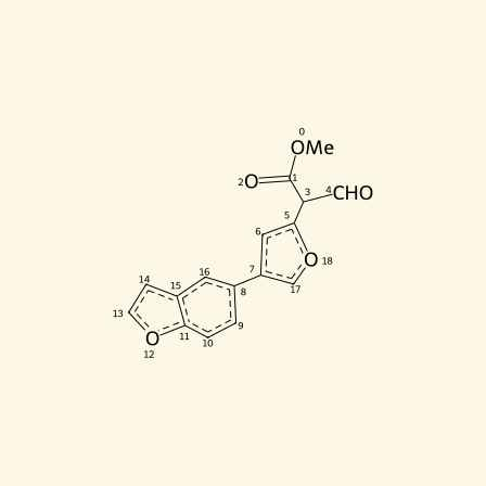 COC(=O)C(C=O)c1cc(-c2ccc3occc3c2)co1